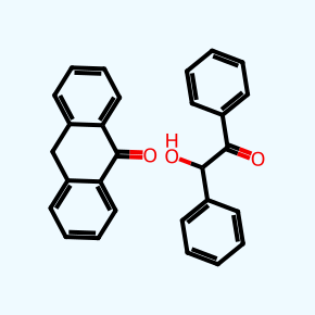 O=C(c1ccccc1)C(O)c1ccccc1.O=C1c2ccccc2Cc2ccccc21